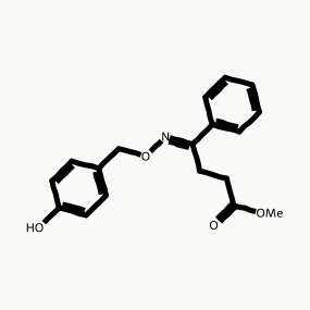 COC(=O)CC/C(=N\OCc1ccc(O)cc1)c1ccccc1